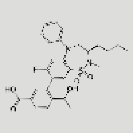 CCCC[C@@H]1CN(c2ccccc2)c2cc(F)c(-c3cc(C(=O)O)ccc3C(C)O)cc2S(=O)(=O)N1C